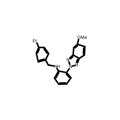 CCc1ccc(CNc2ccccc2-n2nc3ccc(OC)cc3n2)cc1